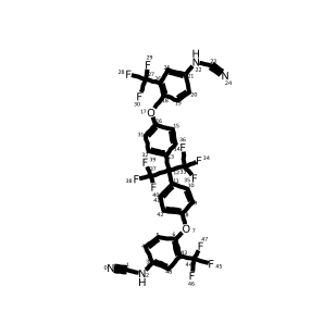 N#CNc1ccc(Oc2ccc(C(c3ccc(Oc4ccc(NC#N)cc4C(F)(F)F)cc3)(C(F)(F)F)C(F)(F)F)cc2)c(C(F)(F)F)c1